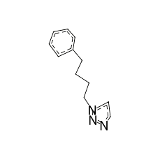 c1ccc(CCCCn2ccnn2)cc1